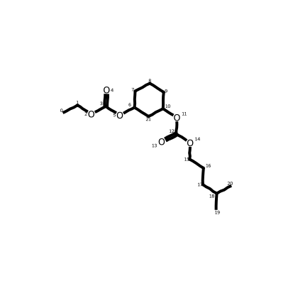 CCOC(=O)OC1CCCC(OC(=O)OCCCC(C)C)C1